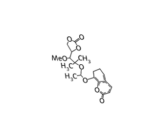 COC(C1COC(=O)O1)C(C)(C)OC(C)OC1=c2oc(=O)ccc2=CCC1